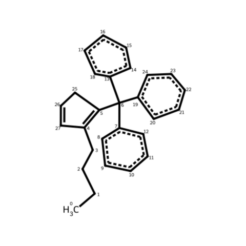 CCCCC1=C(C(c2ccccc2)(c2ccccc2)c2ccccc2)CC=C1